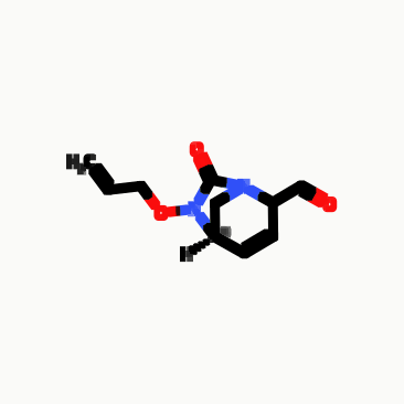 C=CCON1C(=O)N2C[C@H]1C=CC2C=O